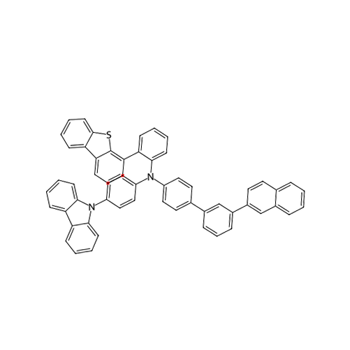 c1cc(-c2ccc(N(c3ccc(-n4c5ccccc5c5ccccc54)cc3)c3ccccc3-c3cccc4c3sc3ccccc34)cc2)cc(-c2ccc3ccccc3c2)c1